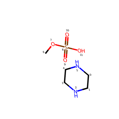 C1CNCCN1.COS(=O)(=O)O